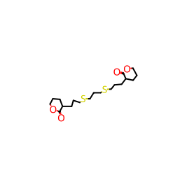 O=C1OCCCC1CCCSCCCSCCCC1CCCOC1=O